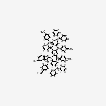 CC(C)(C)c1ccc(N2c3ccccc3B3c4cc5c(cc4N(c4ccc(C(C)(C)C)cc4)c4cc(N(c6ccccc6)c6ccccc6)cc2c43)N(c2ccc(C(C)(C)C)cc2)c2cc(N(c3ccccc3)c3ccccc3)cc3c2B5c2oc4ccc(C(C)(C)C)cc4c2N3c2ccc(C(C)(C)C)cc2)cc1